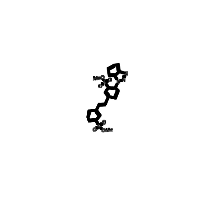 COS(=O)(=O)c1cccc(C=Cc2ccc(-n3nnc4ccccc43)c(S(=O)(=O)OC)c2)c1